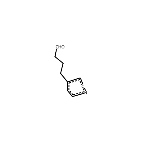 O=CCCCc1ccncc1